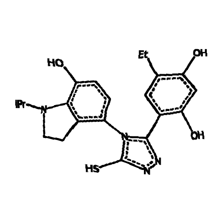 CCc1cc(-c2nnc(S)n2-c2ccc(O)c3c2CCN3C(C)C)c(O)cc1O